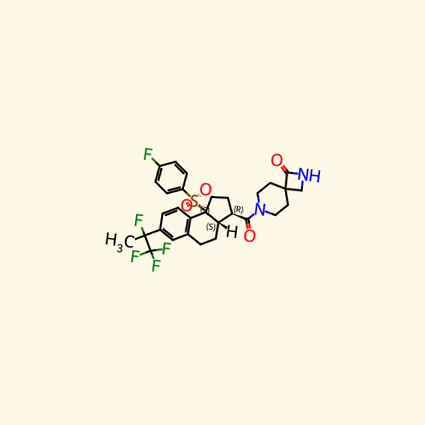 CC(F)(c1ccc2c(c1)CC[C@H]1[C@H](C(=O)N3CCC4(CC3)CNC4=O)CC[C@@]21S(=O)(=O)c1ccc(F)cc1)C(F)(F)F